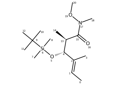 C/C=C(\C)[C@H](O[Si](C)(C)C(C)(C)C)[C@@H](C)C(=O)N(C)OC